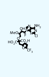 CO[C@H](COC(Cc1ccc(C(F)(F)F)o1)(C(=O)O)C(=O)O)[C@@H](O)[C@H](F)n1cnc2c(N)nc(Cl)nc21